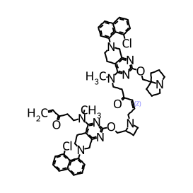 C=CC(=O)CCN(C)c1nc(OCC2CCN2C/C=C\C(=O)CCN(C)c2nc(OCC34CCCN3CCC4)nc3c2CCN(c2cccc4cccc(Cl)c24)C3)nc2c1CCN(c1cccc3cccc(Cl)c13)C2